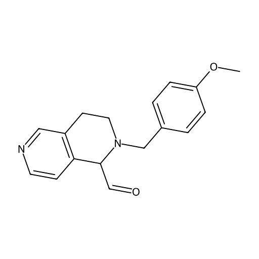 COc1ccc(CN2CCc3cnccc3C2C=O)cc1